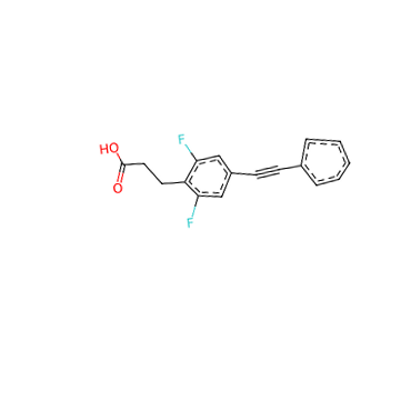 O=C(O)CCc1c(F)cc(C#Cc2ccccc2)cc1F